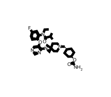 CCN(C(=O)C(C)C)c1cc(F)ccc1Oc1cncnc1N1CC2(CCN(C[C@H]3CC[C@H](OC(N)=O)CC3)CC2)C1